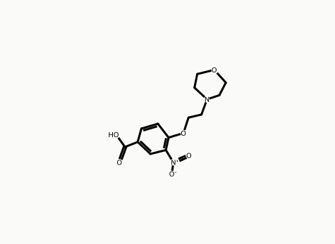 O=C(O)c1ccc(OCCN2CCOCC2)c([N+](=O)[O-])c1